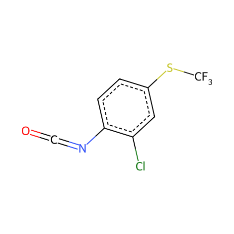 O=C=Nc1ccc(SC(F)(F)F)cc1Cl